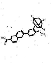 COc1ccc(-c2ccc3cc(C(=O)O)ccc3c2)cc1C12C[C@H]3C[C@@H](C1)C[C@@H](C2)C3